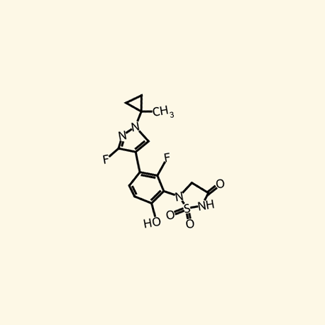 CC1(n2cc(-c3ccc(O)c(N4CC(=O)NS4(=O)=O)c3F)c(F)n2)CC1